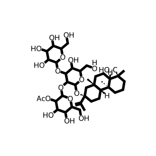 C=C(C)[C@]1(OC2OC(CO)C(O)C(OC3OC(CO)C(O)C(O)C3O)C2OC2OC(CO)C(O)C(O)C2OC(C)=O)CC[C@@H]2[C@@](C)(CC[C@H]3[C@@]2(C)CCC[C@@]3(C)C(=O)O)C1